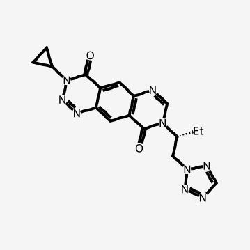 CC[C@H](Cn1ncnn1)n1cnc2cc3c(=O)n(C4CC4)nnc3cc2c1=O